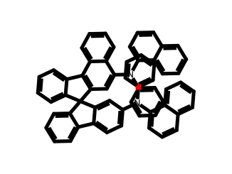 c1ccc(N(c2ccc3c(c2)C2(c4ccccc4-3)c3ccccc3-c3c2cc(N(c2ccccc2)c2cccc4ccccc24)c2ccccc32)c2cccc3ccccc23)cc1